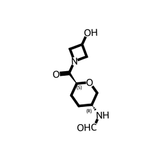 O=CN[C@@H]1CC[C@@H](C(=O)N2CC(O)C2)OC1